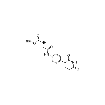 CC(C)(C)OC(=O)NCC(=O)Nc1ccc(C2CCC(=O)NC2=O)cc1